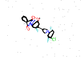 COc1cc(C2CCN(c3cc(F)c(Cl)cc3F)CC2)c(F)cc1N1C(=O)c2ccccc2C1=O